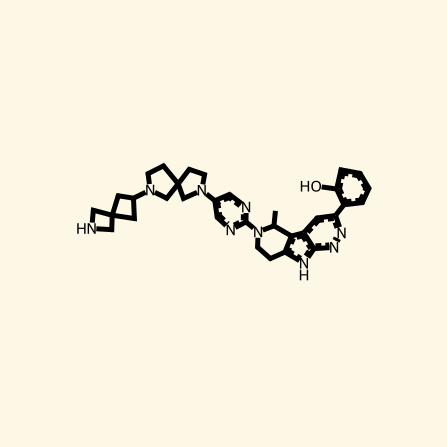 CC1c2c([nH]c3nnc(-c4ccccc4O)cc23)CCN1c1ncc(N2CCC3(CCN(C4CC5(CNC5)C4)C3)C2)cn1